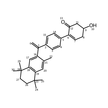 C=C(c1ccc(C2=CCC(O)CC2=O)cc1)c1cc2c(cc1C)C(C)(C)CCC2(C)C